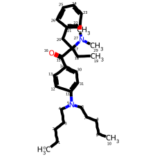 CCCCCN(CCCCC)c1ccc(C(=O)C(CC)(Cc2ccccc2)N(C)C)cc1